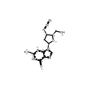 [N-]=[N+]=N[C@@H]1C[C@H](n2cnc3c(=O)[nH]c(N)nc32)O[C@@H]1CO